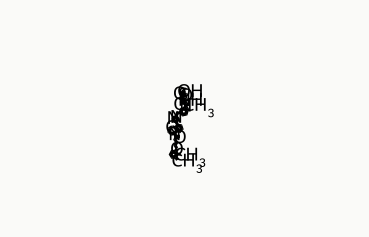 Cc1cccc(OCCCC(=O)N2CCCOc3c(-c4cnn(Cc5cccc(N(C)C(=O)NCS(=O)(=O)O)c5)c4)cccc32)c1C